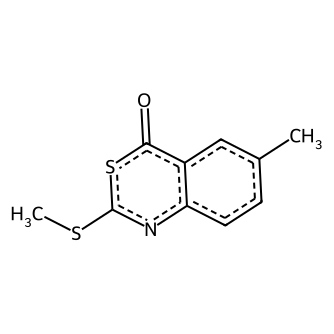 CSc1nc2ccc(C)cc2c(=O)s1